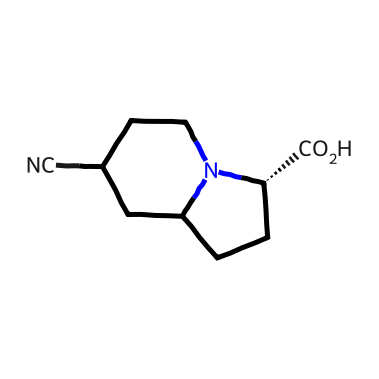 N#CC1CCN2C(CC[C@H]2C(=O)O)C1